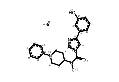 Br.CN(C(=O)n1cnc(-c2cccc(O)c2)c1)C1CCN(c2ccccc2)CC1